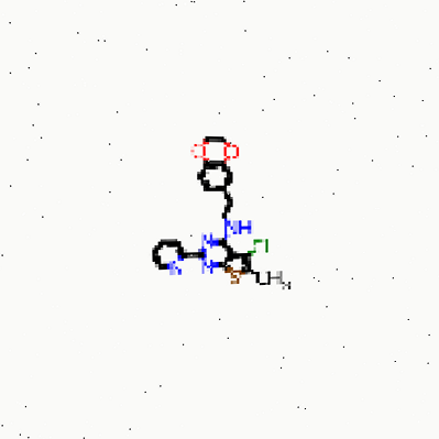 Cc1sc2nc(-c3ccccn3)nc(NCCc3ccc4c(c3)OCCO4)c2c1Cl